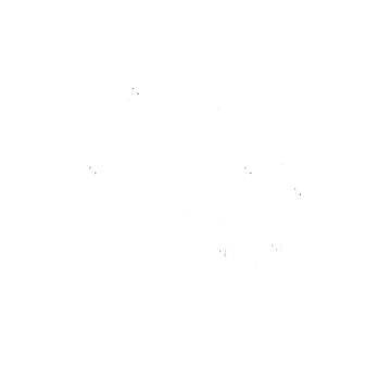 N[C@@H](Cc1c[nH]c2ccccc12)C(=O)O.O=c1[nH]c(=O)c2[nH]c(=O)[nH]c2[nH]1